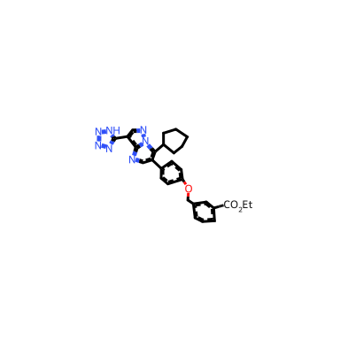 CCOC(=O)c1cccc(COc2ccc(-c3cnc4c(-c5nnn[nH]5)cnn4c3C3CCCCC3)cc2)c1